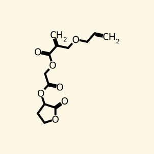 C=CCOCC(=C)C(=O)OCC(=O)OC1CCOC1=O